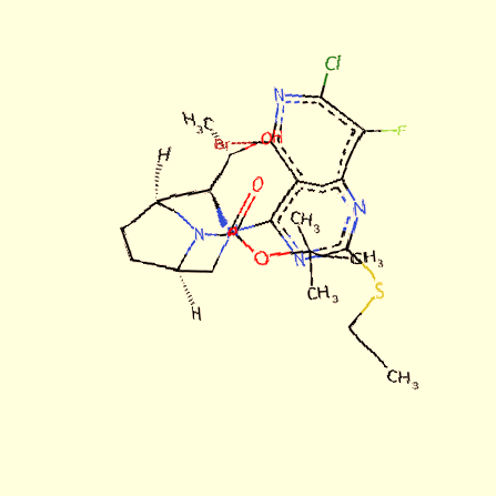 CCSc1nc(N2C[C@H]3CC[C@@H]([C@H]2[C@H](C)O)N3C(=O)OC(C)(C)C)c2c(Br)nc(Cl)c(F)c2n1